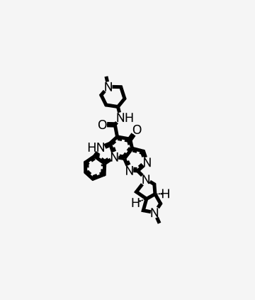 CN1CCC(NC(=O)c2c(=O)c3cnc(N4C[C@H]5CN(C)C[C@H]5C4)nc3n3c2[nH]c2ccccc23)CC1